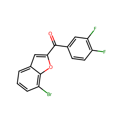 O=C(c1ccc(F)c(F)c1)c1cc2cccc(Br)c2o1